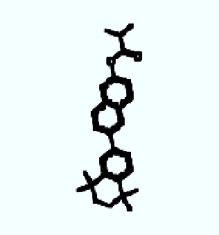 CC(C)C(=O)Oc1ccc2cc(-c3ccc4c(c3)C(C)(C)CCC4(C)C)ccc2c1